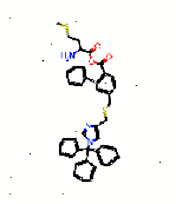 CSCC[C@H](N)C(=O)OC(=O)c1ccc(CSCc2cn(C(c3ccccc3)(c3ccccc3)c3ccccc3)cn2)cc1-c1ccccc1